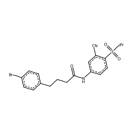 CC(C)S(=O)(=O)c1ccc(NC(=O)CCCc2ccc(Br)cc2)cc1C#N